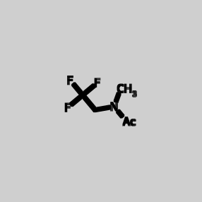 CC(=O)N(C)CC(F)(F)F